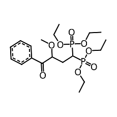 CCOP(=O)(OCC)C(CC(OC)C(=O)c1ccccc1)P(=O)(OCC)OCC